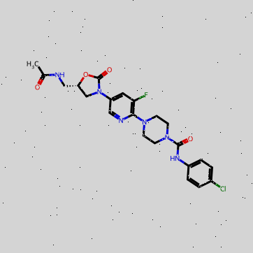 CC(=O)NC[C@H]1CN(c2cnc(N3CCN(C(=O)Nc4ccc(Cl)cc4)CC3)c(F)c2)C(=O)O1